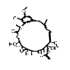 C=C1N[C@]2(O)C[C@H](O1)[C@@H](C)[C@@H]1O[C@@]1(C)[C@@H](O)CC(=O)N(C)c1cc(cc(OC)c1Cl)C/C(C)=C/C=C/[C@H]2OC